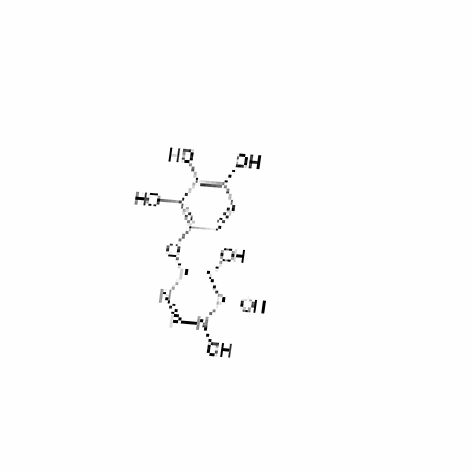 Oc1ccc(Op2npn(O)p(O)n2O)c(O)c1O